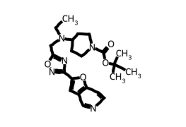 CCN(Cc1nc(-c2cc3cnccc3o2)no1)C1CCN(C(=O)OC(C)(C)C)CC1